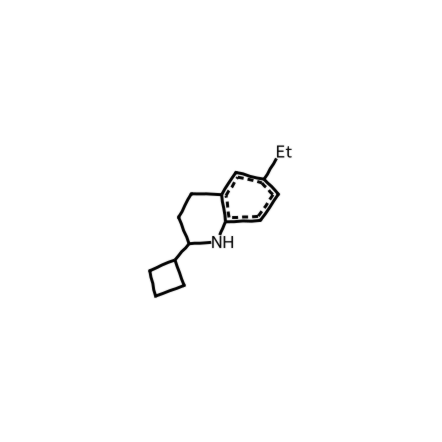 CCc1ccc2c(c1)CCC(C1CCC1)N2